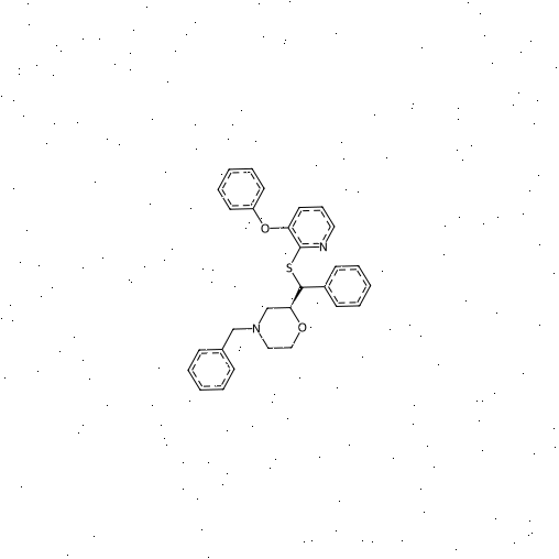 c1ccc(CN2CCO[C@H](C(Sc3ncccc3Oc3ccccc3)c3ccccc3)C2)cc1